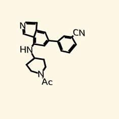 CC(=O)N1CCC(Nc2cc(-c3cccc(C#N)c3)cc3ccncc23)CC1